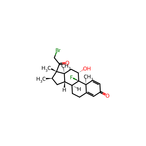 C[C@@H]1C[C@H]2[C@@H]3CCC4=CC(=O)C=C[C@]4(C)[C@@]3(F)[C@@H](O)C[C@]2(C)[C@@]1(C)C(=O)CBr